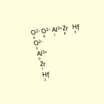 [Al+3].[Al+3].[Hf].[Hf].[O-2].[O-2].[O-2].[Zr].[Zr]